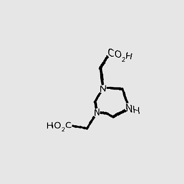 O=C(O)CN1CNCN(CC(=O)O)C1